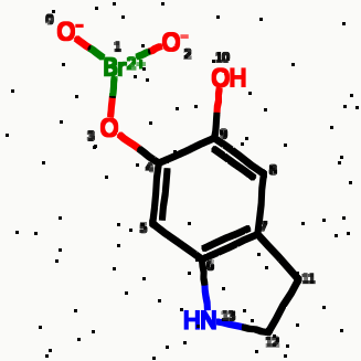 [O-][Br+2]([O-])Oc1cc2c(cc1O)CCN2